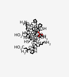 C[C@@H](O)[C@H](NC(=O)[C@H](CCCCN)NC(=O)[C@H](CC(=O)O)NC(=O)[C@H](CS)NC(=O)[C@H](CO)NC(=O)[C@H](CCCCN)NC(=O)[C@@H]1CCCN1C(=O)[C@@H](N)CCC(=O)O)C(=O)N[C@@H](Cc1c[nH]cn1)C(=O)N[C@H](C(=O)N[C@@H](CS)C(=O)N1CCC[C@H]1C(=O)N1CCC[C@H]1C(=O)O)[C@@H](C)O